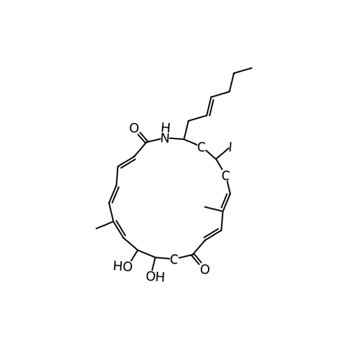 CCC/C=C/CC1CC(I)C/C=C(C)/C=C/C(=O)CC(O)C(O)\C=C(C)/C=C/C=C/C(=O)N1